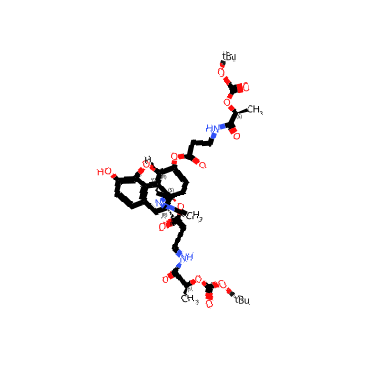 C[C@H](OC(=O)OC(C)(C)C)C(=O)NCCC(=O)OC1=CC[C@@]2(OC(=O)CCNC(=O)[C@H](C)OC(=O)OC(C)(C)C)[C@H]3Cc4ccc(O)c5c4[C@@]2(CCN3C)[C@H]1O5